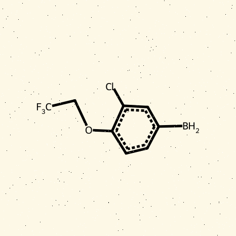 Bc1ccc(OCC(F)(F)F)c(Cl)c1